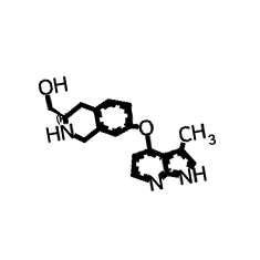 Cc1c[nH]c2nccc(Oc3ccc4c(c3)CN[C@@H](CO)C4)c12